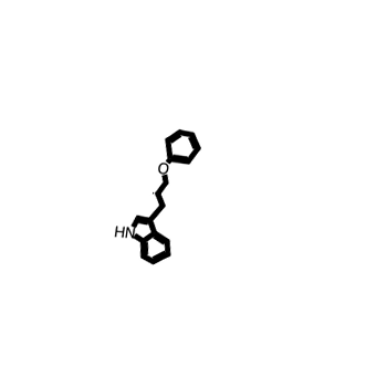 [CH](COc1ccccc1)Cc1c[nH]c2ccccc12